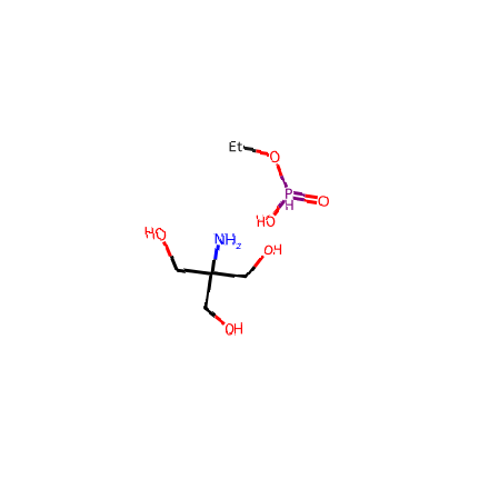 CCO[PH](=O)O.NC(CO)(CO)CO